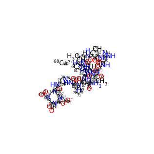 CC(C)C[C@H](NC(=O)C[C@H](O)[C@H](CC(C)C)NC(=O)[C@H](Cc1cnc[nH]1)NC(=O)CNC(=O)[C@@H](NC(=O)[C@H](C)NC(=O)[C@H](Cc1c[nH]c2ccccc12)NC(=O)[C@H](CCC(N)=O)NC(=O)[C@@H](Cc1ccccc1)NC(=O)CN1CCC(NC(=O)CN2CCN(CC(=O)[O-])CCN(CC(=O)[O-])CCN(CC(=O)[O-])CC2)CC1)C(C)C)C(N)=O.[68Ga+3]